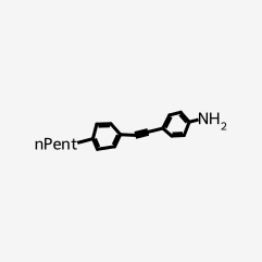 CCCCCc1ccc(C#Cc2ccc(N)cc2)cc1